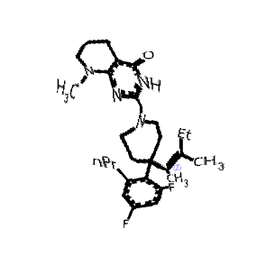 CCCc1cc(F)cc(F)c1C1(/C(C)=C(/C)CC)CCN(c2nc3c(c(=O)[nH]2)CCCN3C)CC1